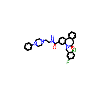 O=C(NCCN1CCN(c2ccccc2)CC1)c1ccc2c(c1)N(Cc1cc(F)ccc1Cl)C(=O)Cc1ccccc1-2